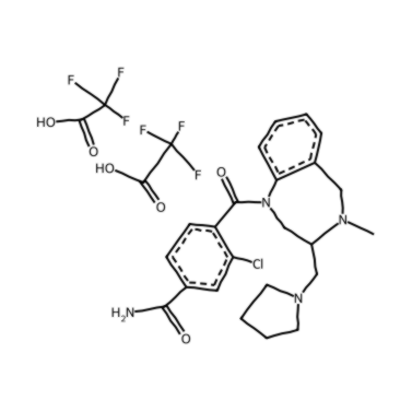 CN1Cc2ccccc2N(C(=O)c2ccc(C(N)=O)cc2Cl)CC1CN1CCCC1.O=C(O)C(F)(F)F.O=C(O)C(F)(F)F